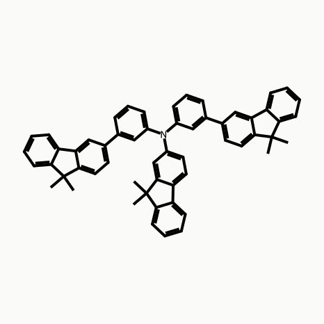 CC1(C)c2ccccc2-c2cc(-c3cccc(N(c4cccc(-c5ccc6c(c5)-c5ccccc5C6(C)C)c4)c4ccc5c(c4)C(C)(C)c4ccccc4-5)c3)ccc21